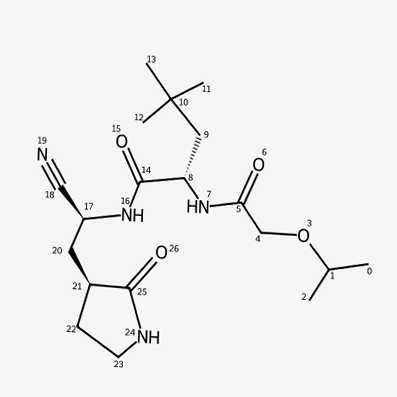 CC(C)OCC(=O)N[C@@H](CC(C)(C)C)C(=O)N[C@H](C#N)C[C@@H]1CCNC1=O